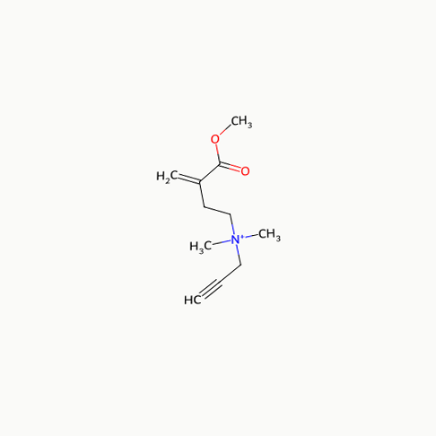 C#CC[N+](C)(C)CCC(=C)C(=O)OC